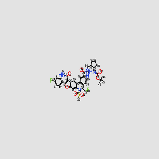 CNC(=O)c1c(-c2ccc(F)cc2)oc2cc(N(CCF)S(C)(=O)=O)c(-c3cccc(C(=O)NCC4CCCC4NC(=O)OC(C)(C)C)c3)cc12